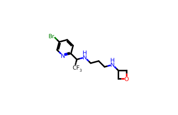 FC(F)(F)C(NCCCNC1COC1)c1ccc(Br)cn1